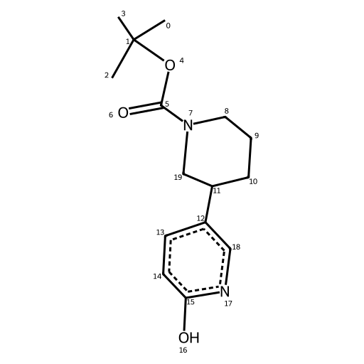 CC(C)(C)OC(=O)N1CCCC(c2ccc(O)nc2)C1